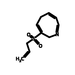 C=CCS(=O)(=O)/C1=C/CC=C/C=N\C1